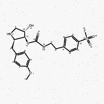 COc1ccc(C[C@H]2NC[C@H](O)[C@H]2OC(=O)NCCc2ccc(S(=O)(=O)F)cc2)cc1